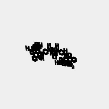 Nc1c(S(=O)(=O)O)cc(NC2CCC(Nc3nc(Cl)nc(NC4CCC(Nc5cc(S(=O)(=O)O)c(N)c6c5C(=O)c5ccccc5C6=O)CC4)n3)CC2)c2c1C(=O)c1ccccc1C2=O